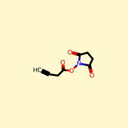 C#CCC(=O)ON1C(=O)CCC1=O